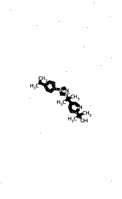 CC(C)c1ccc(-n2cn[n+](C(C)(C)c3ccc(C(C)(C)O)nc3)c2)cc1